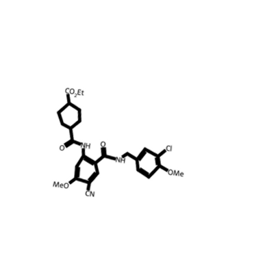 CCOC(=O)C1CCC(C(=O)Nc2cc(OC)c(C#N)cc2C(=O)NCc2ccc(OC)c(Cl)c2)CC1